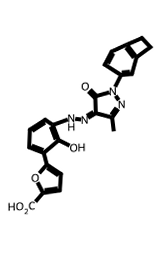 CC1=NN(c2ccc3c(c2)CC3)C(=O)C1=NNc1cccc(-c2ccc(C(=O)O)o2)c1O